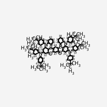 CC(C)(C)c1ccc(N(c2ccc(C(C)(C)C)cc2)c2cc3c4c(c2)N(c2ccc(C(C)(C)C)cc2)c2ccccc2B4c2cc4c(cc2O3)Oc2cc(N(c3ccc(C(C)(C)C)cc3)c3ccc(C(C)(C)C)cc3)cc3c2B4c2ccccc2N3c2ccc(C(C)(C)C)cc2)cc1